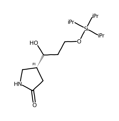 CC(C)[Si](OCCC(O)[C@H]1CNC(=O)C1)(C(C)C)C(C)C